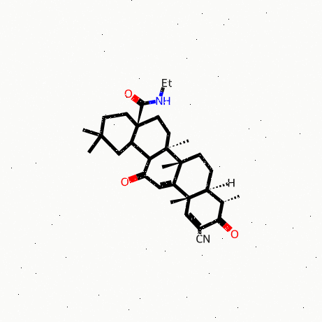 CCNC(=O)[C@]12CCC(C)(C)CC1C1C(=O)C=C3[C@@]4(C)C=C(C#N)C(=O)[C@@H](C)[C@@H]4CC[C@@]3(C)[C@]1(C)CC2